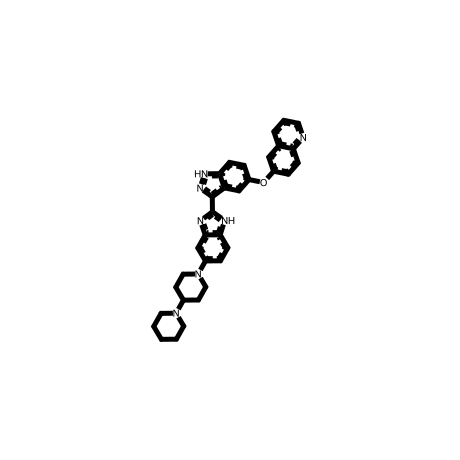 c1cnc2ccc(Oc3ccc4[nH]nc(-c5nc6cc(N7CCC(N8CCCCC8)CC7)ccc6[nH]5)c4c3)cc2c1